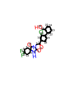 O=C(CN1C(=O)NC2(CCC(F)(F)CC2)C1=O)c1ccc(-c2ccccc2CO)c(Cl)c1